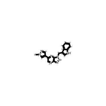 Cn1cc(-c2cnc3nnn(Cc4c[nH]c5ccccc45)c3n2)cn1